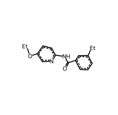 CCOc1ccc(NC(=O)c2cccc(CC)c2)nc1